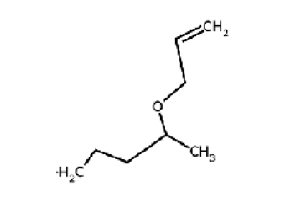 [CH2]CCC(C)OCC=C